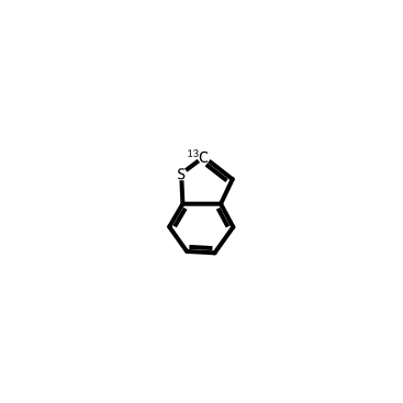 c1ccc2s[13cH]cc2c1